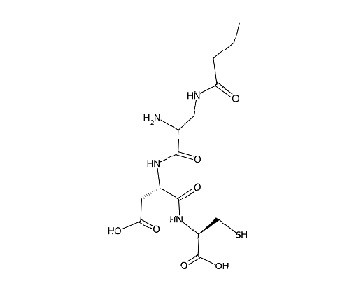 CCCC(=O)NCC(N)C(=O)N[C@@H](CC(=O)O)C(=O)N[C@@H](CS)C(=O)O